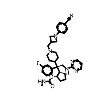 CNC(=O)O[C@H]1CCC[C@@H]1[C@](CNc1ncccn1)(c1cccc(F)c1)C1CCN(CC2CN(c3ccc(C#N)cc3)C2)CC1